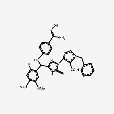 COc1cc(F)c(C(Nc2ccc(/C(N)=N/O)cc2)c2nn(-c3ncn(Cc4ccccc4)c3C(=O)O)c(=O)[nH]2)cc1OC